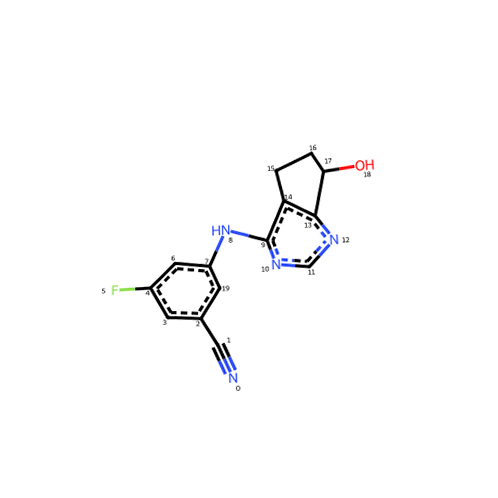 N#Cc1cc(F)cc(Nc2ncnc3c2CCC3O)c1